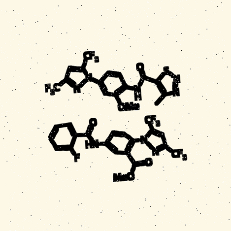 COC(=O)c1cc(NC(=O)c2ccccc2F)ccc1-n1nc(C(F)(F)F)cc1C(F)(F)F.COc1cc(-n2nc(C(F)(F)F)cc2C(F)(F)F)ccc1NC(=O)c1snnc1C